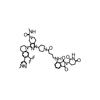 CNC(=O)N1CCc2c(c(N3CCCc4cc(-c5cnn(C)c5)c(C(F)F)cc43)nn2C2CCN(C(=O)CCCNc3cccc4c3C(=O)N(C3CCC(=O)NC3=O)C4=O)CC2)C1